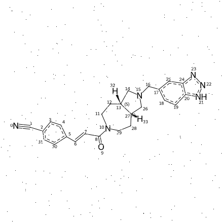 N#Cc1ccc(C=CC(=O)N2CC[C@@H]3CN(Cc4ccc5[nH]nnc5c4)C[C@@H]3CC2)cc1